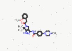 COc1ccccc1CC(=O)N1Cc2c(NC(=O)c3ccc(N4CCN(C)CC4)cc3)n[nH]c2C1(C)C